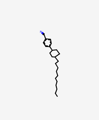 CCCCCCCCCCCC1CCC(c2ccc(C#N)cc2)CC1